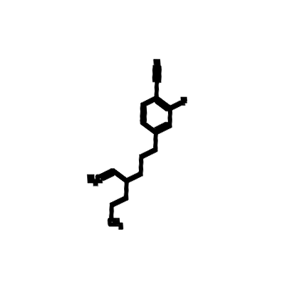 C=CC(CCC)CCCc1ccc(C#N)c(F)c1